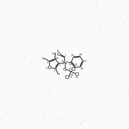 Cc1oc(C)c([N+](C=O)(SC(Cl)(Cl)Cl)c2ccccc2)c1C